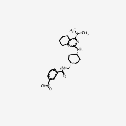 CN(C)c1nc(N[C@H]2CC[C@@H](CNC(=O)c3cccc([N+](=O)[O-])c3)CC2)nc2c1CCCC2